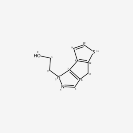 OCCn1ncc2c1-c1ccsc1C2